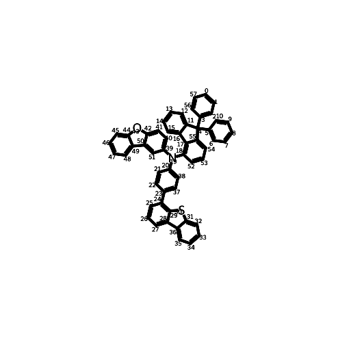 c1ccc(C2(c3ccccc3)c3ccccc3-c3c(N(c4ccc(-c5cccc6c5sc5ccccc56)cc4)c4ccc5oc6ccccc6c5c4)cccc32)cc1